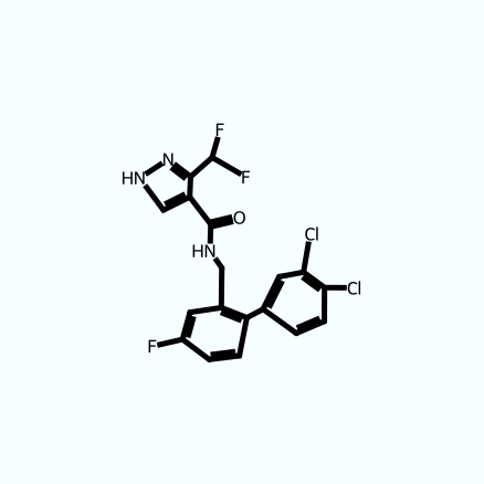 O=C(NCc1cc(F)ccc1-c1ccc(Cl)c(Cl)c1)c1c[nH]nc1C(F)F